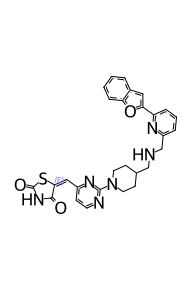 O=C1NC(=O)/C(=C\c2ccnc(N3CCC(CNCc4cccc(-c5cc6ccccc6o5)n4)CC3)n2)S1